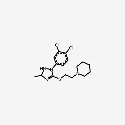 CC1N=C(SCCN2CCCCC2)N(c2ccc(Cl)c(Cl)c2)N1